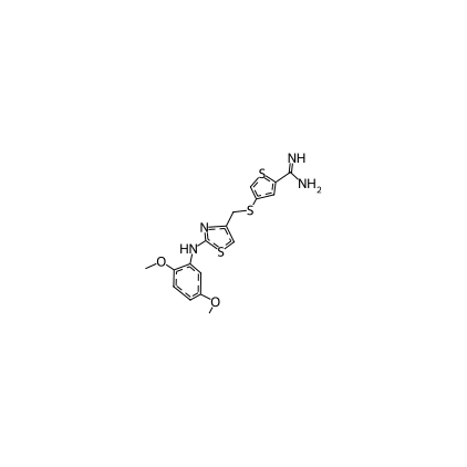 COc1ccc(OC)c(Nc2nc(CSc3csc(C(=N)N)c3)cs2)c1